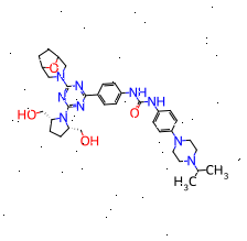 CC(C)N1CCN(c2ccc(NC(=O)Nc3ccc(-c4nc(N5CC6CCC(C5)O6)nc(N5[C@H](CO)CC[C@@H]5CO)n4)cc3)cc2)CC1